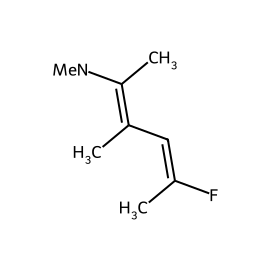 CN/C(C)=C(C)/C=C(\C)F